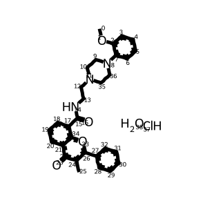 COc1ccccc1N1CCN(CCNC(=O)c2cccc3c(=O)c(C)c(-c4ccccc4)oc23)CC1.Cl.O